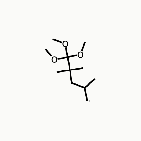 [CH2]C(C)CC(C)(C)C(OC)(OC)OC